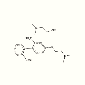 CN(C)CCO.COc1ccccc1-c1cnc(OCCN(C)C)nc1C(=O)O